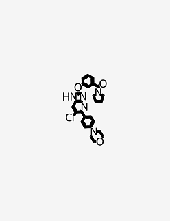 O=C(c1cccc(Oc2nc3nc(-c4ccc(N5CCOCC5)cc4)c(Cl)cc3[nH]2)c1)N1CCCC1